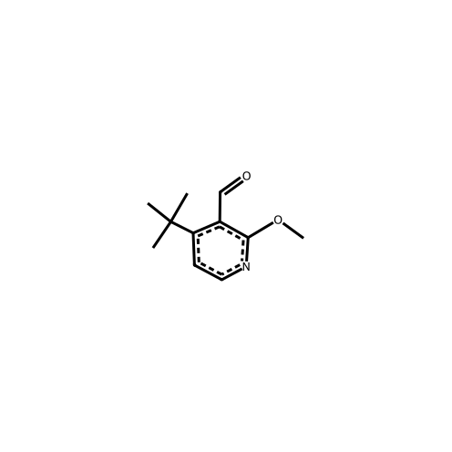 COc1nccc(C(C)(C)C)c1C=O